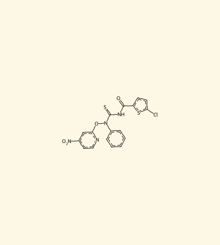 O=C(NC(=S)N(Oc1cc([N+](=O)[O-])ccn1)c1ccccc1)c1ccc(Cl)s1